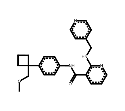 COCC1(c2ccc(NC(=O)c3cccnc3NCc3ccncc3)cc2)CCC1